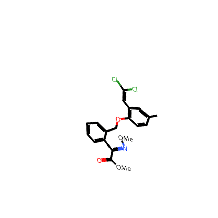 CO/N=C(/C(=O)OC)c1ccccc1COc1ccc(C)cc1C=C(Cl)Cl